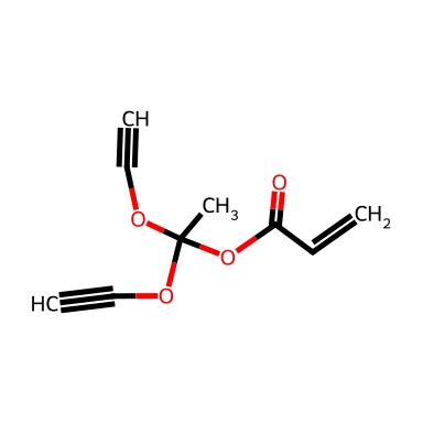 C#COC(C)(OC#C)OC(=O)C=C